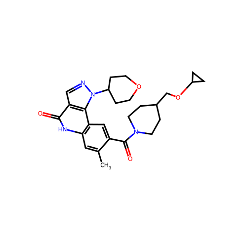 Cc1cc2[nH]c(=O)c3cnn(C4CCOCC4)c3c2cc1C(=O)N1CCC(COC2CC2)CC1